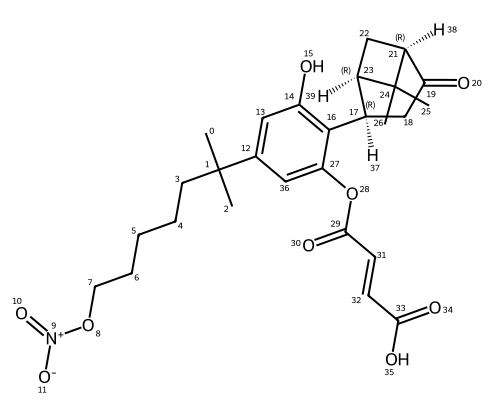 CC(C)(CCCCCO[N+](=O)[O-])c1cc(O)c([C@@H]2CC(=O)[C@@H]3C[C@H]2C3(C)C)c(OC(=O)C=CC(=O)O)c1